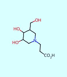 O=C(O)CCN1CC(O)C(O)C(CO)C1